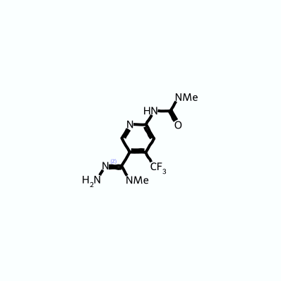 CNC(=O)Nc1cc(C(F)(F)F)c(/C(=N/N)NC)cn1